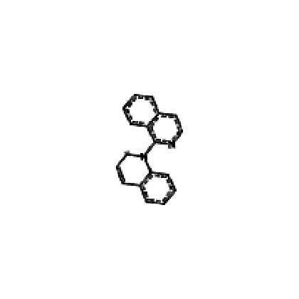 [C]1C=Cc2ccccc2N1c1nccc2ccccc12